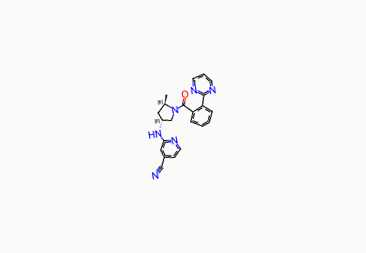 C[C@@H]1C[C@@H](Nc2cc(C#N)ccn2)CN1C(=O)c1ccccc1-c1ncccn1